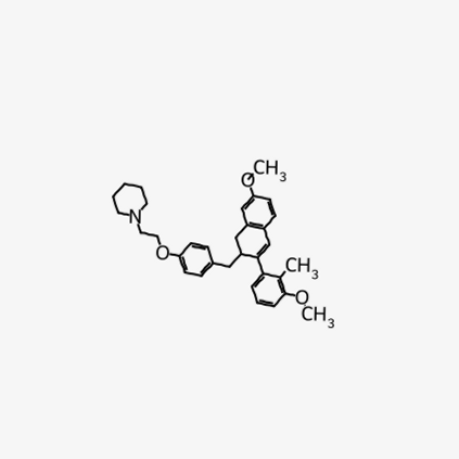 COc1ccc2c(c1)CC(Cc1ccc(OCCN3CCCCC3)cc1)C(c1cccc(OC)c1C)=C2